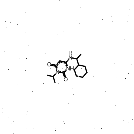 CC(Nc1cc(=O)n(C(C)C)c(=O)[nH]1)C1CCCCC1